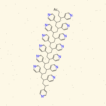 CC(=O)CCC(CC(CC(CC(CC(CC(CC(CC(CC(CC(CC(CC(CC(CC(C)c1ccncc1)c1ccncc1)c1ccncc1)c1ccncc1)c1ccncc1)c1ccncc1)c1ccncc1)c1ccncc1)c1ccncc1)c1ccncc1)c1ccncc1)c1ccncc1)c1ccncc1)c1ccncc1